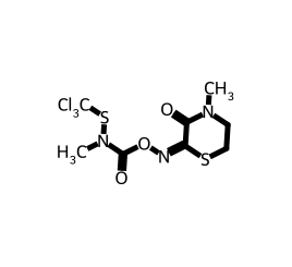 CN1CCSC(=NOC(=O)N(C)SC(Cl)(Cl)Cl)C1=O